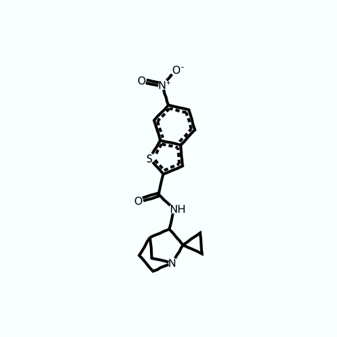 O=C(NC1C2CCN(C2)C12CC2)c1cc2ccc([N+](=O)[O-])cc2s1